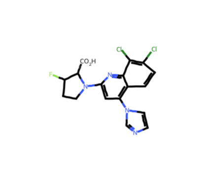 O=C(O)C1C(F)CCN1c1cc(-n2ccnc2)c2ccc(Cl)c(Cl)c2n1